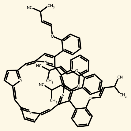 CC(C#N)C=COc1ccccc1C1=CC2=CC3=NC(=CC4=NC(=CC5=NC(=C(c6ccccc6OC=CC(C)C#N)C1=N2)C(c1ccccc1OC=CC(C)C#N)=C5c1ccccc1OC=CC(C)C#N)C=C4)C=C3